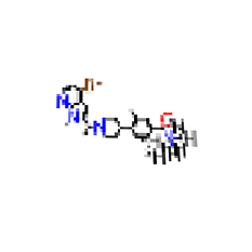 [2H]C([2H])([2H])N(C(=O)c1ccc(C2CCN(C(C)c3cc4c(Br)ccnc4n3C)CC2)c(C)c1)C([2H])([2H])[2H]